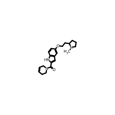 CN1CCCC1CCOc1ccc2[nH]c(C(=O)N3CC=CCC3)cc2c1